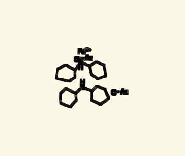 C1CCC(NC2CCCCC2)CC1.C1CCC(NC2CCCCC2)CC1.CC(=O)[O-].CC(=O)[O-].[Pd+2]